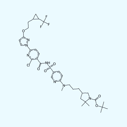 CN(CCCC1CN(C(=O)OC(C)(C)C)C(C)(C)C1)c1ccc(S(=O)(=O)NC(=O)c2ccc(-n3ccc(OCCC4CC4C(F)(F)F)n3)nc2Cl)cn1